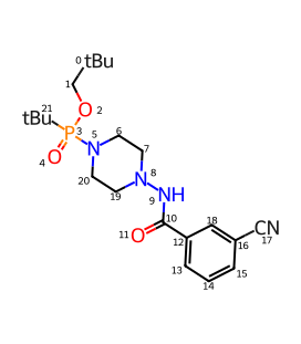 CC(C)(C)COP(=O)(N1CCN(NC(=O)c2cccc(C#N)c2)CC1)C(C)(C)C